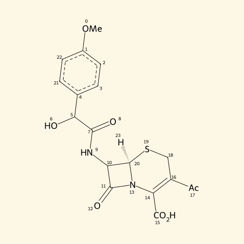 COc1ccc(C(O)C(=O)NC2C(=O)N3C(C(=O)O)=C(C(C)=O)CS[C@H]23)cc1